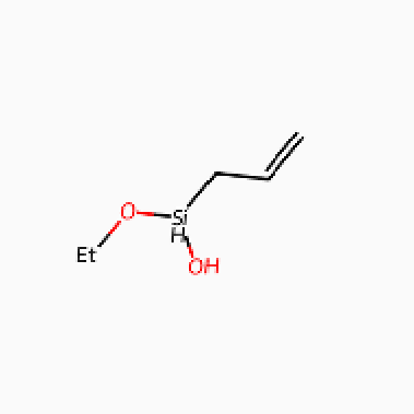 C=CC[SiH](O)OCC